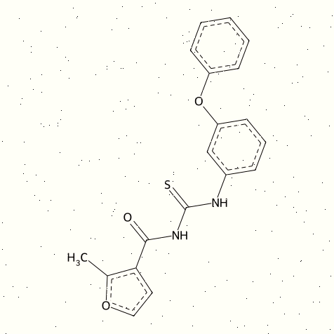 Cc1occc1C(=O)NC(=S)Nc1cccc(Oc2ccccc2)c1